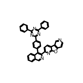 c1ccc(-c2nc(-c3ccccc3)nc(-c3ccc(-c4c(-c5ccc6c(n5)oc5ccncc56)ncc5ccccc45)cc3)n2)cc1